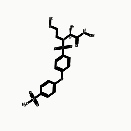 CCOCCN([C@H](C(=O)NO)C(C)C)S(=O)(=O)c1ccc(Oc2ccc(S(C)(=O)=O)cc2)cc1